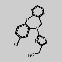 OCc1csc(N2Cc3ccccc3Oc3ccc(Cl)cc32)n1